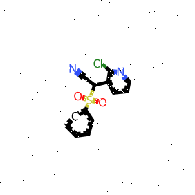 N#CC(c1cccnc1Cl)S(=O)(=O)c1ccccc1